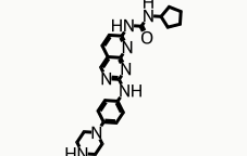 O=C(Nc1ccc2cnc(Nc3ccc(N4CCNCC4)cc3)nc2n1)NC1CCCC1